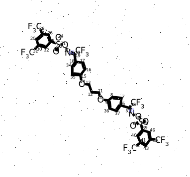 O=S(=O)(O/N=C(/c1ccc(OCCCOc2ccc(/C(=N/OS(=O)(=O)c3cc(C(F)(F)F)cc(C(F)(F)F)c3)C(F)(F)F)cc2)cc1)C(F)(F)F)c1cc(C(F)(F)F)cc(C(F)(F)F)c1